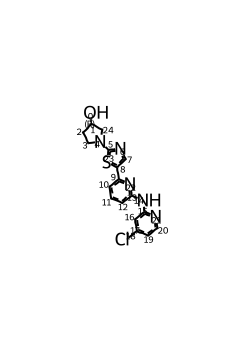 O[C@@H]1CCN(c2ncc(-c3cccc(Nc4cc(Cl)ccn4)n3)s2)C1